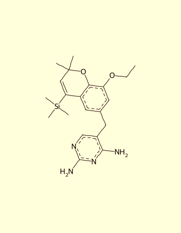 CCOc1cc(Cc2cnc(N)nc2N)cc2c1OC(C)(C)C=C2[Si](C)(C)C